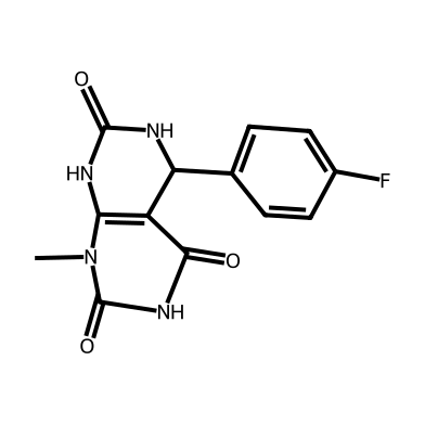 Cn1c2c(c(=O)[nH]c1=O)C(c1ccc(F)cc1)NC(=O)N2